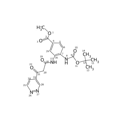 COC(=O)c1ccc(NC(=O)OC(C)(C)C)c(NC(=O)CC(=O)c2ccnnc2)c1